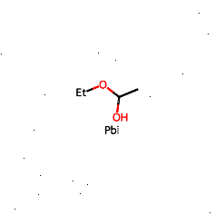 CCOC(C)O.[Pb]